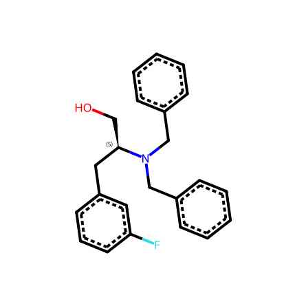 OC[C@H](Cc1cccc(F)c1)N(Cc1ccccc1)Cc1ccccc1